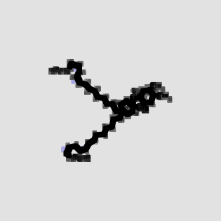 CCCCC/C=C\C/C=C\CCCCCCCCC1(CCCCCCCC/C=C\C/C=C\CCCCC)CCC2(CC1)O[C@H]1C[C@@H](C)[C@@H](C)C[C@@H]1O2